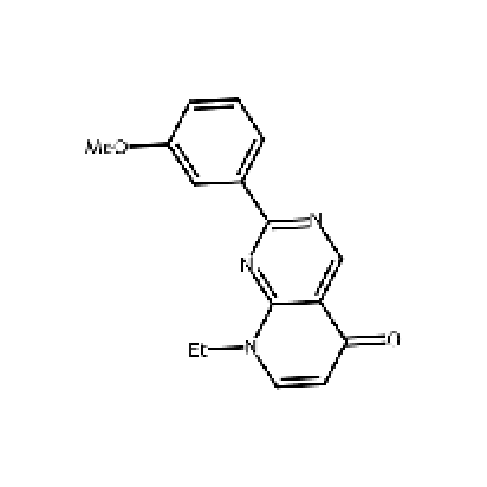 CCn1ccc(=O)c2cnc(-c3cccc(OC)c3)nc21